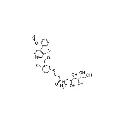 CN(CC(O)C(O)C(O)C(O)CO)C(=O)CCSc1ccc(Cl)c(COC2(c3cnccc3-c3ccccc3OC3CC3)CC2)c1